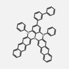 c1ccc(-c2cccc(-c3cc4c5c(c3)N(c3ccccc3)c3cc6cc7ccccc7cc6cc3B5c3cc5cc6ccccc6cc5cc3N4c3ccccc3)c2)cc1